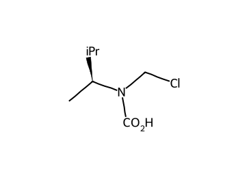 CC(C)[C@H](C)N(CCl)C(=O)O